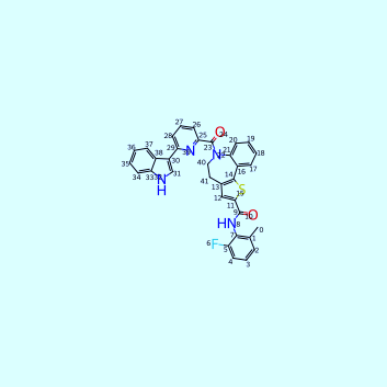 Cc1cccc(F)c1NC(=O)c1cc2c(s1)-c1ccccc1N(C(=O)c1cccc(-c3c[nH]c4ccccc34)n1)CC2